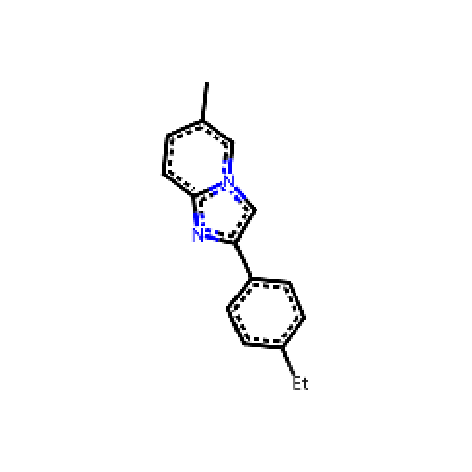 CCc1ccc(-c2cn3cc(C)ccc3n2)cc1